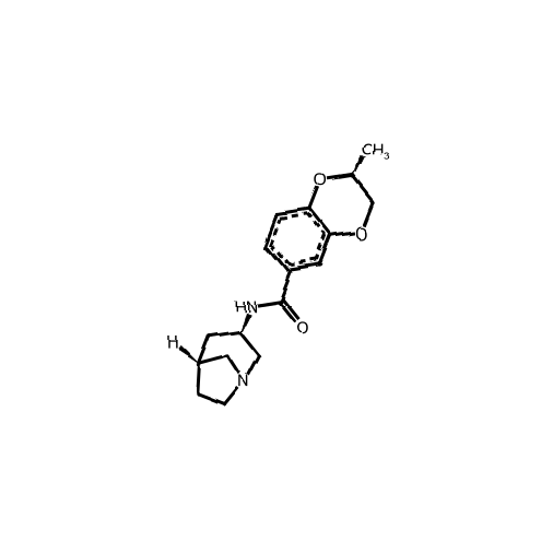 C[C@H]1COc2cc(C(=O)N[C@@H]3C[C@H]4CCN(C4)C3)ccc2O1